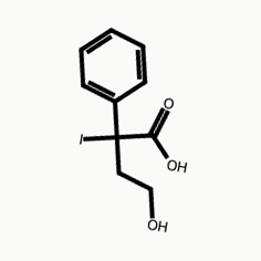 O=C(O)C(I)(CCO)c1ccccc1